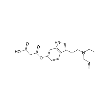 C=CCN(CC)CCc1c[nH]c2cc(OC(=O)CC(=O)O)ccc12